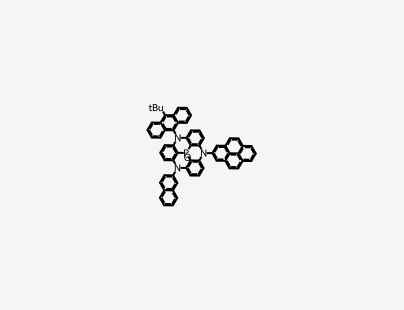 CC(C)(C)c1c2ccccc2c(N2c3cccc4c3P3(=O)c5c(cccc5N(c5cc6ccc7cccc8ccc(c5)c6c78)c5cccc2c53)N4c2ccc3ccccc3c2)c2ccccc12